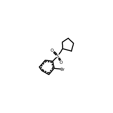 O=S(=O)(c1ccccc1Br)C1CCCC1